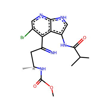 COC(=O)N[C@H](C)CC(=N)c1c(Br)cnc2[nH]cc(NC(=O)C(C)C)c12